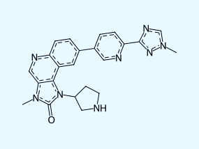 Cn1cnc(-c2ccc(-c3ccc4ncc5c(c4c3)n(C3CCNC3)c(=O)n5C)cn2)n1